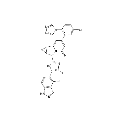 O=c1cc(-c2cc(Cl)ccc2-n2cnnn2)cc2n1C(c1nc(F)c(-c3ccc4[nH]ncc4c3F)[nH]1)C1CC21